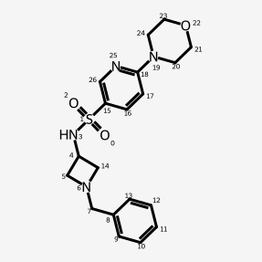 O=S(=O)(NC1CN(Cc2ccccc2)C1)c1ccc(N2CCOCC2)nc1